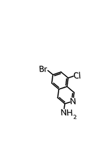 Nc1cc2cc(Br)cc(Cl)c2cn1